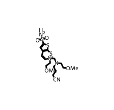 COCCN(CCCC#N)C[N+]1(CCOC)C=Cc2cc(S(N)(=O)=O)sc2S1